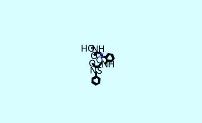 COc1nc(-c2ccccc2)sc1C(=O)Nc1ccccc1/C=C/C(=O)NO